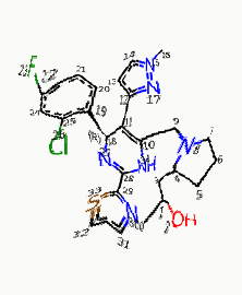 CC(O)CC1CCCN1CC1=C(c2ccn(C)n2)[C@H](c2ccc(F)cc2Cl)N=C(c2nccs2)N1